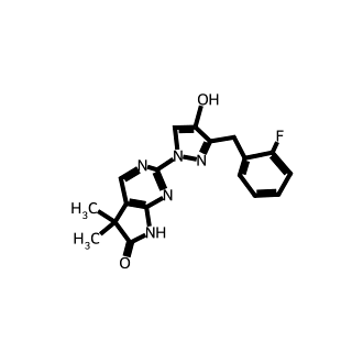 CC1(C)C(=O)Nc2nc(-n3cc(O)c(Cc4ccccc4F)n3)ncc21